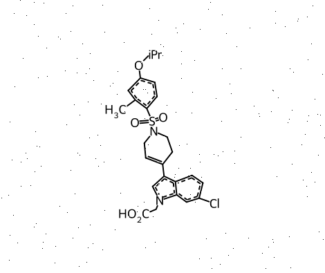 Cc1cc(OC(C)C)ccc1S(=O)(=O)N1CC=C(c2cn(CC(=O)O)c3cc(Cl)ccc23)CC1